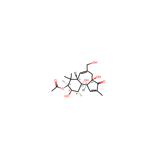 CC(=O)O[C@]1(C)[C@H](O)[C@@H](C)[C@@]2(O)[C@@H](C=C(CO)C[C@]3(O)C(=O)C(C)=C[C@@H]23)C1(C)C